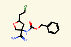 N=C(N)C1(NC(=O)OCc2ccccc2)COC(CCCl)C1